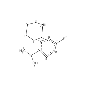 C1CCNCC1.CC(O)c1ccc(F)cc1